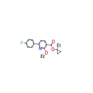 CCOc1nc(-c2ccc(F)cc2)ccc1C(=O)OC1(CC)CC1